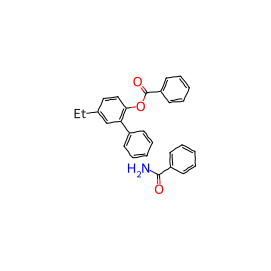 CCc1ccc(OC(=O)c2ccccc2)c(-c2ccccc2)c1.NC(=O)c1ccccc1